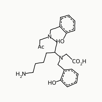 CC(=O)CN(Cc1ccccc1O)CC(CCCCN)N(CC(=O)O)Cc1ccccc1O